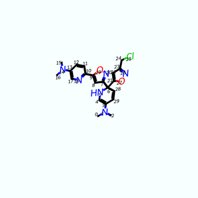 CN(C)C1=CNC(c2cc(-c3ccc(N(C)C)cn3)on2)(c2cc(CCl)no2)C=C1